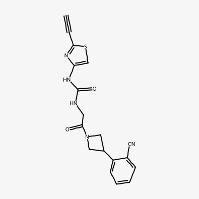 C#Cc1nc(NC(=O)NCC(=O)N2CC(c3ccccc3C#N)C2)cs1